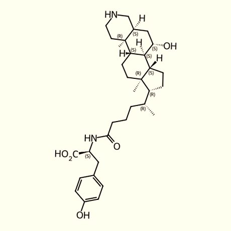 C[C@H](CCCC(=O)N[C@@H](Cc1ccc(O)cc1)C(=O)O)[C@H]1CC[C@H]2[C@@H]3[C@@H](O)C[C@@H]4CNCC[C@]4(C)[C@H]3CC[C@]12C